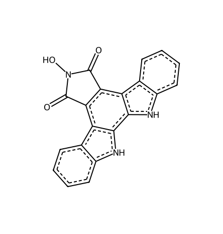 O=C1c2c(c3c4ccccc4[nH]c3c3[nH]c4ccccc4c23)C(=O)N1O